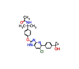 CC(=O)NC(C)(C)c1ccc(Oc2nc3nc(-c4ccc(C5(O)CC5)cc4)c(Cl)cc3[nH]2)cc1